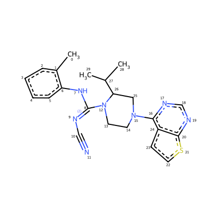 Cc1ccccc1N/C(=N/C#N)N1CCN(c2ncnc3sccc23)CC1C(C)C